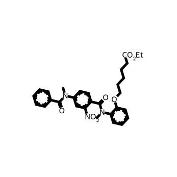 CCOC(=O)CCCCCOc1ccccc1N(C)C(=O)c1ccc(N(C)C(=O)c2ccccc2)cc1[N+](=O)[O-]